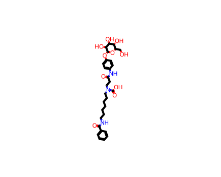 O=C(CCN(CCCCCCCNC(=O)c1ccccc1)C(=O)O)Nc1ccc(OC2OC(CO)C(O)C(O)C2O)cc1